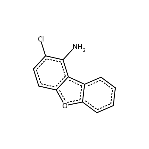 Nc1c(Cl)ccc2oc3ccccc3c12